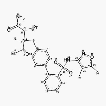 CCC(=O)[N+](C)(Cc1ccc(-c2ccccc2S(=O)(=O)Nc2noc(C)c2C)cc1)[C@H](C(N)=O)C(C)C